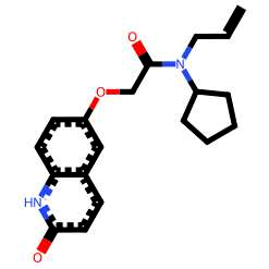 C=CCN(C(=O)COc1ccc2[nH]c(=O)ccc2c1)C1CCCC1